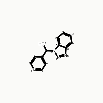 OC(c1ccncc1)n1nnc2ccccc21